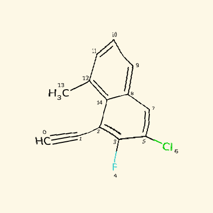 C#Cc1c(F)c(Cl)cc2cccc(C)c12